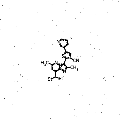 CCC(CC)c1cc(C)nn2c(-c3sc(-c4cccnc4)cc3C#N)c(C)nc12